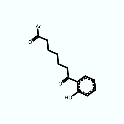 CC(=O)C(=O)CCCCCC(=O)c1ccccc1O